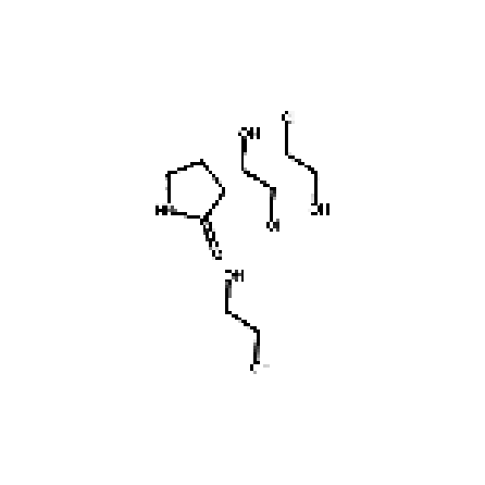 O=C1CCCN1.OCCO.OCCO.OCCO